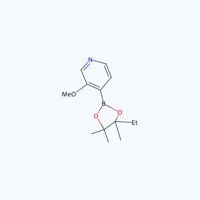 CCC1(C)OB(c2ccncc2OC)OC1(C)C